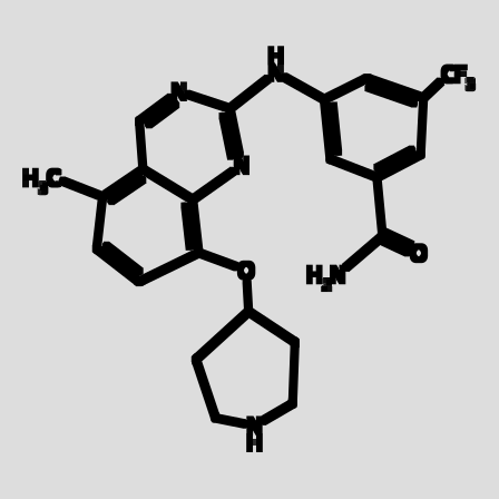 Cc1ccc(OC2CCNCC2)c2nc(Nc3cc(C(N)=O)cc(C(F)(F)F)c3)ncc12